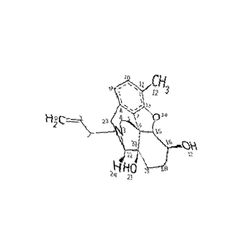 C=CCN1CC[C@@]23c4c5ccc(C)c4OC2[C@@H](O)CC[C@]3(O)[C@@H]1C5